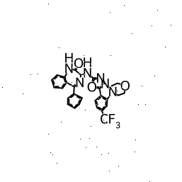 O=C1Nc2ccccc2C(c2ccccc2)=N[C@@H]1Nc1nnc(-c2ccc(C(F)(F)F)cc2N2CCOCC2)o1